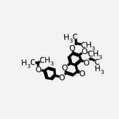 CCOc1c(OC)c(OC(C)C)cc2oc(Oc3ccc(OC(C)C)cc3)cc(=O)c12